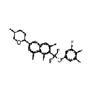 Cc1cc(OC(F)(F)c2c(C)cc3cc(C4CCC(C)CO4)cc(C)c3c2C)cc(F)c1C